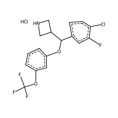 Cl.Fc1cc(C(Oc2cccc(OC(F)(F)F)c2)C2CNC2)ccc1Cl